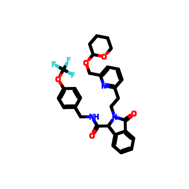 O=C(NCc1ccc(OC(F)(F)F)cc1)C1c2ccccc2C(=O)N1CCc1cccc(COC2CCCCO2)n1